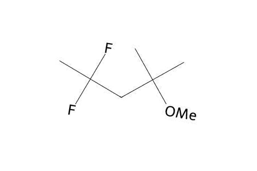 COC(C)(C)CC(C)(F)F